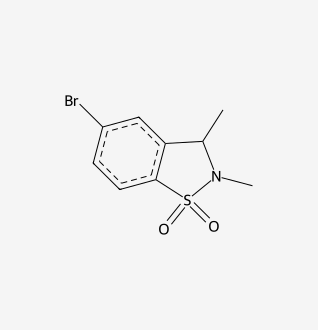 CC1c2cc(Br)ccc2S(=O)(=O)N1C